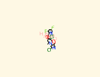 BC(B)(Oc1cc(C)n(-c2cc(Cl)ncc2C)c(=O)c1Cl)c1ncc(F)cc1F